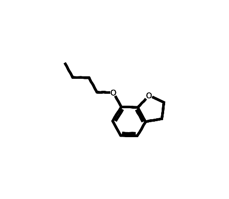 CCCCOc1cccc2c1OCC2